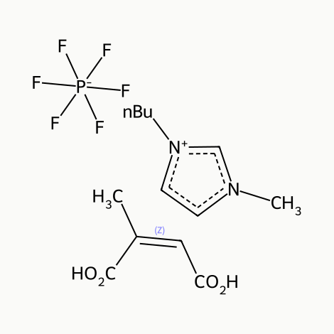 C/C(=C/C(=O)O)C(=O)O.CCCC[n+]1ccn(C)c1.F[P-](F)(F)(F)(F)F